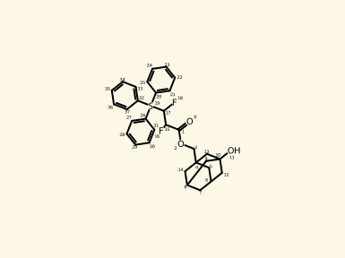 O=C(OCC12CC3CC(CC(O)(C3)C1)C2)C(F)C(F)S(c1ccccc1)(c1ccccc1)c1ccccc1